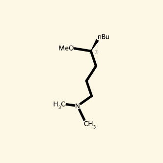 CCCC[C@@H](CCCN(C)C)OC